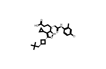 Cc1cc(Cl)ccc1NC(=O)C[C@@H](CCC(=O)O)C1NOC([C@H]2C[C@H](CC(C)(C)C)C2)=C1C1CC1